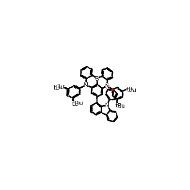 CC(C)(C)c1cc(N2c3ccccc3B3c4ccccc4N(c4cc(C(C)(C)C)cc(C(C)(C)C)c4)c4cc(-c5cccc6c7ccccc7n(-c7ccccc7)c56)cc2c43)cc(C(C)(C)C)c1